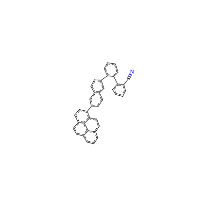 N#Cc1ccccc1-c1ccccc1-c1ccc2cc(-c3ccc4ccc5cccc6ccc3c4c56)ccc2c1